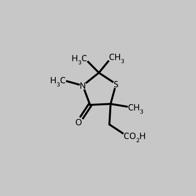 CN1C(=O)C(C)(CC(=O)O)SC1(C)C